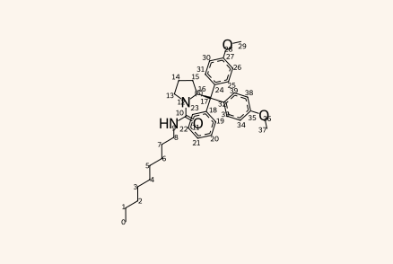 CCCCCCCCCNC(=O)N1CCC[C@H]1C(c1ccccc1)(c1ccc(OC)cc1)c1ccc(OC)cc1